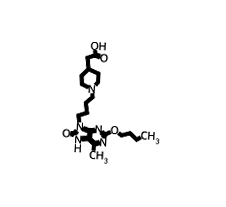 CCCCOc1nc(C)c2[nH]c(=O)n(CCCCN3CCC(CC(=O)O)CC3)c2n1